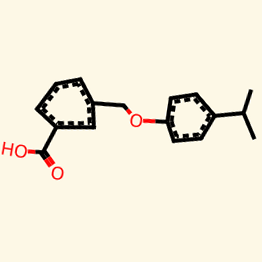 CC(C)c1ccc(OCc2cccc(C(=O)O)c2)cc1